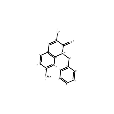 CSc1ncc2cc(Br)c(=O)n(Cc3ccccc3)c2n1